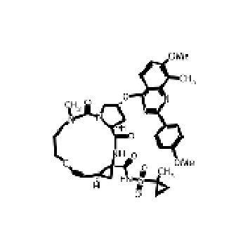 COc1ccc(-c2nc(O[C@@H]3C[C@H]4C(=O)N[C@]5(C(=O)NS(=O)(=O)C6(C)CC6)C[C@H]5/C=C\CCCCN(C)C(=O)N4C3)c3ccc(OC)c(C)c3n2)cc1